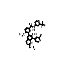 Cc1ccc(C(=O)Nc2cc(C(F)(F)F)ncn2)cc1-c1cc2cnc(N)nc2c(-c2ccnc(F)c2)c1O